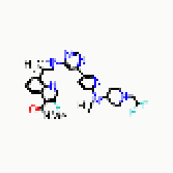 CNC(=O)c1c(F)cnc2c(C(C)CNc3cc(-c4ccc(N(C)C5CCN(CC(F)F)CC5)nc4)ncn3)cccc12